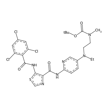 CCN(CCN(C)C(=O)OC(C)(C)C)c1ccc(NC(=O)c2ncsc2NC(=O)c2c(Cl)cc(Cl)cc2Cl)nc1